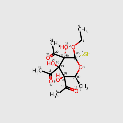 CCO[C@@]1(S)O[C@@H](C)[C@](O)(C(C)=O)[C@](O)(C(C)=O)[C@@]1(O)C(C)=O